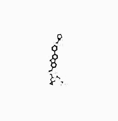 COC(=O)N[C@H](C(=O)N1CC2(CC2)CC1c1ncc(-c2ccc3c(c2)C(F)(F)c2cc(-c4ccc5nc(C6NC7CCC6C7)[nH]c5c4)ccc2-3)[nH]1)C(C)C